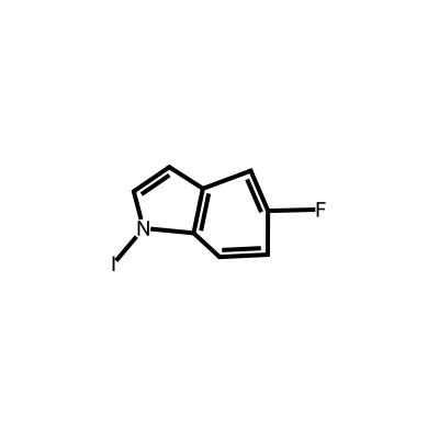 Fc1ccc2c(ccn2I)c1